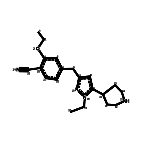 CCOc1cc(Cc2cc(C3CCNCC3)n(CC)n2)ccc1C#N